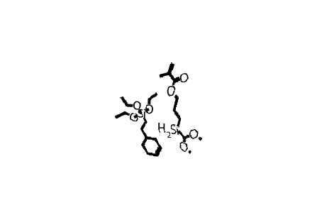 C=C(C)C(=O)OCCC[SiH2]C(OC)OC.CCO[Si](CCC1CC=CCC1)(OCC)OCC